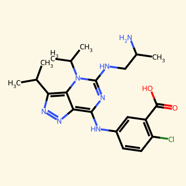 CC(N)CNc1nc(Nc2ccc(Cl)c(C(=O)O)c2)c2nnc(C(C)C)c-2n1C(C)C